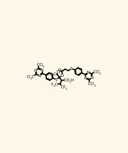 O=C(CCSc1ccc(-c2nc(C(Cl)(Cl)Cl)nc(C(Cl)(Cl)Cl)n2)cc1)OC(Sc1ccc(-c2nc(C(Cl)(Cl)Cl)nc(C(Cl)(Cl)Cl)n2)cc1)(C(C(=O)O)C(C(F)(F)F)C(F)(F)F)C(C(F)(F)F)C(F)(F)F